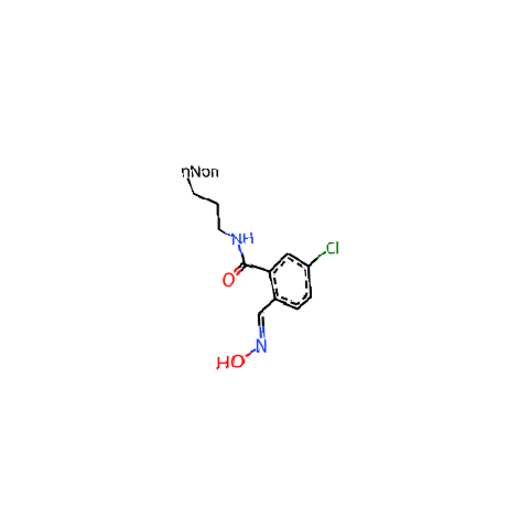 CCCCCCCCCCCCNC(=O)c1cc(Cl)ccc1C=NO